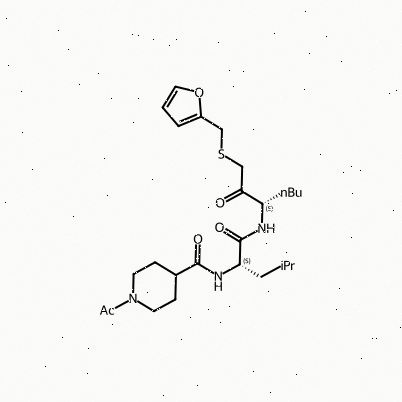 CCCC[C@H](NC(=O)[C@H](CC(C)C)NC(=O)C1CCN(C(C)=O)CC1)C(=O)CSCc1ccco1